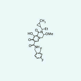 CCC(C1CC1C)N1C(=O)c2c(O)c(=O)c(C(=O)NCc3ccc(F)cc3F)cn2CC1OC